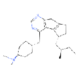 CC[C@@H](C)C[C@H]1CCC2=C1c1c(ncnc1C[C@H]1CC[C@H](N(C)C)CC1)C2